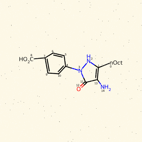 CCCCCCCCc1[nH]n(-c2ccc(C(=O)O)cc2)c(=O)c1N